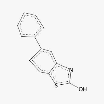 Oc1nc2cc(-c3ccccc3)ccc2s1